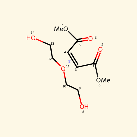 COC(=O)/C=C\C(=O)OC.OCCOCCO